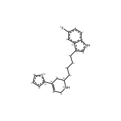 Fc1ccc2[nH]cc(CCCCC3CC(c4cccs4)=CCN3)c2c1